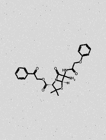 CC1(C)S[C@H]2N(C(=O)C2(N)NC(=O)COc2ccccc2)[C@H]1C(=O)OCC(=O)c1ccccc1